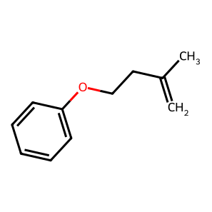 C=C(C)CCOc1ccccc1